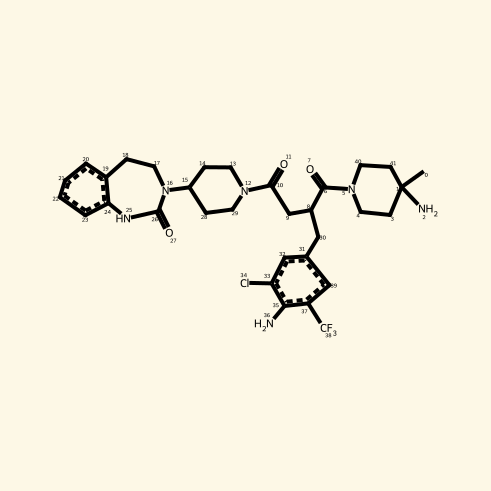 CC1(N)CCN(C(=O)C(CC(=O)N2CCC(N3CCc4ccccc4NC3=O)CC2)Cc2cc(Cl)c(N)c(C(F)(F)F)c2)CC1